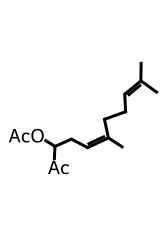 CC(=O)OC(CC=C(C)CCC=C(C)C)C(C)=O